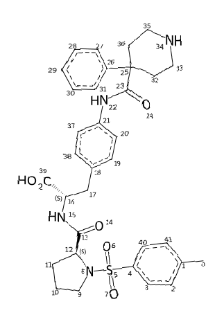 Cc1ccc(S(=O)(=O)N2CCC[C@H]2C(=O)N[C@@H](Cc2ccc(NC(=O)C3(c4ccccc4)CCNCC3)cc2)C(=O)O)cc1